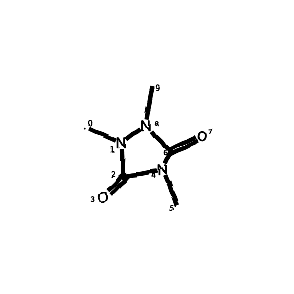 [CH2]n1c(=O)n(C)c(=O)n1C